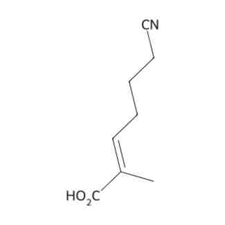 CC(=CCCCC#N)C(=O)O